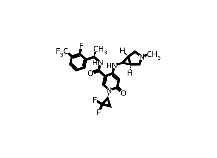 C[C@@H](NC(=O)c1cn([C@H]2CC2(F)F)c(=O)cc1NC1[C@H]2CN(C)C[C@@H]12)c1cccc(C(F)(F)F)c1F